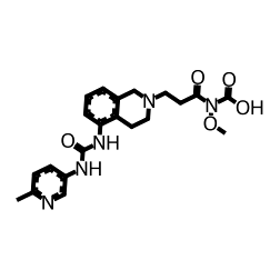 CON(C(=O)O)C(=O)CCN1CCc2c(cccc2NC(=O)Nc2ccc(C)nc2)C1